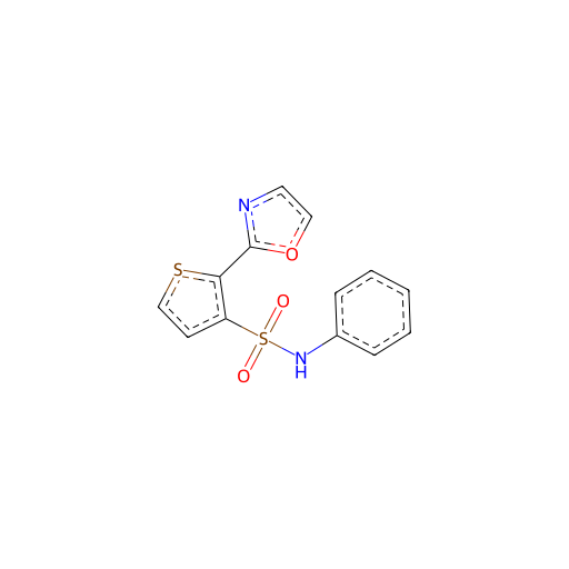 O=S(=O)(Nc1ccccc1)c1ccsc1-c1ncco1